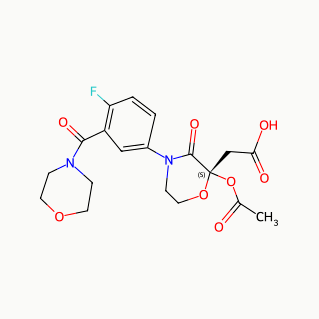 CC(=O)O[C@]1(CC(=O)O)OCCN(c2ccc(F)c(C(=O)N3CCOCC3)c2)C1=O